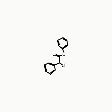 O=C(Oc1ccccc1)[C](Cl)c1ccccc1